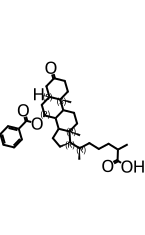 CC(CCC[C@@H](C)[C@H]1CCC2C3C(CC[C@@]21C)[C@@]1(C)CCC(=O)C[C@@H]1C[C@H]3OC(=O)c1ccccc1)C(=O)O